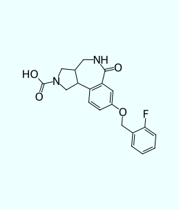 O=C1NCC2CN(C(=O)O)CC2c2ccc(OCc3ccccc3F)cc21